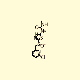 CNC(=O)N(C)c1nnc([S+]([O-])Cc2cccc(Cl)n2)s1